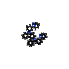 c1ccc(-c2cccc(-n3c4ccccc4c4c5c6ccccc6n(-c6cccc(-c7ccccn7)c6)c5ccc43)c2)nc1